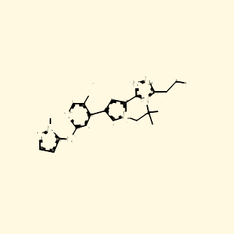 Cn1nccc1Nc1cc(-c2cc3n(c2)CC(C)(C)n2c(CCC(F)(F)F)nnc2-3)c(Cl)cn1